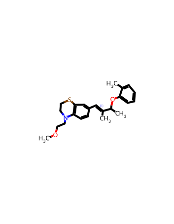 COCCN1CCSc2cc(/C=C(\C)C(C)Oc3ccccc3C)ccc21